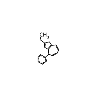 CCC1=CC2=C(C=CC=CC2c2ccccc2)C1